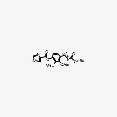 COc1c(OC(=O)c2cocn2)ccc([C@H](C)NC(=O)OC(C)(C)C)c1OC